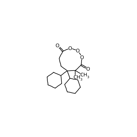 CC1(C)C(=O)OOOC(=O)CCC1(C1CCCCC1)C1CCCCC1